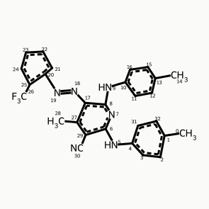 Cc1ccc(Nc2nc(Nc3ccc(C)cc3)c(/N=N/c3ccccc3C(F)(F)F)c(C)c2C#N)cc1